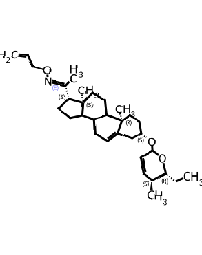 C=CCO/N=C(\C)[C@H]1CCC2C3CC=C4C[C@@H](OC5C=C[C@H](C)[C@@H](CC)O5)CC[C@]4(C)C3CC[C@@]21C